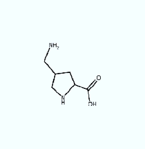 NCC1CNC(C(=O)O)C1